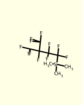 C[Si](C)(C)C(F)(F)C(F)(F)C(F)(C(F)(F)F)C(F)(F)F